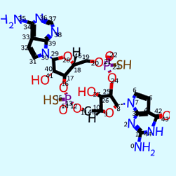 Nc1nc2c(ccn2[C@@H]2O[C@@H]3COP(=O)(S)OC4[C@@H](COP(=O)(S)OC2C3O)O[C@@H](n2ccc3c(N)ncnc32)[C@H]4O)c(=O)[nH]1